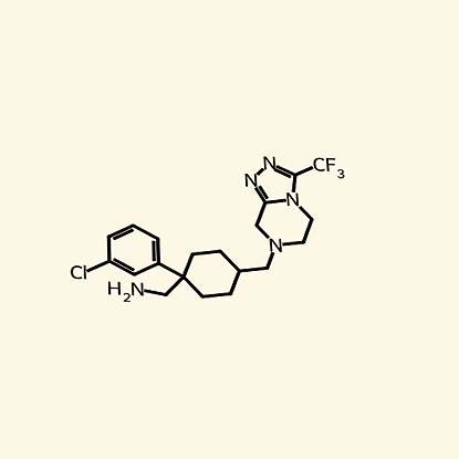 NCC1(c2cccc(Cl)c2)CCC(CN2CCn3c(nnc3C(F)(F)F)C2)CC1